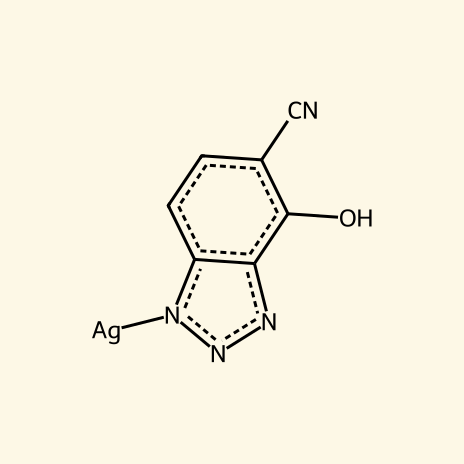 N#Cc1ccc2c(nn[n]2[Ag])c1O